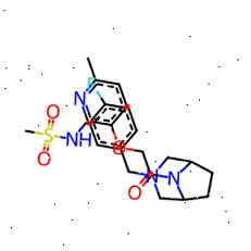 Cc1ccc(OCC(=O)N2C3CCC2CN(Cc2ccc(F)cc2)C3)c(NS(C)(=O)=O)n1